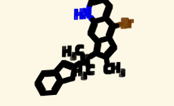 Cc1cc2c(Br)c3ccc[nH]c3cc2c1[Si](C)(C)C1=Cc2ccccc2C1